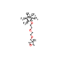 CCC1(COCCOCCOc2c(C(F)(F)F)c(C(F)(F)F)c(C(F)(F)F)c(C(F)(F)F)c2C(F)(F)F)COC1